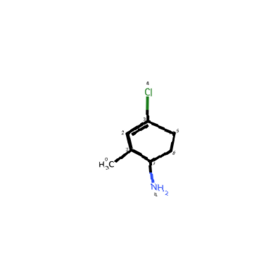 CC1C=C(Cl)CCC1N